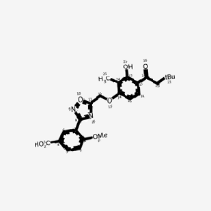 COc1ccc(C(=O)O)cc1-c1noc(COc2ccc(C(=O)CC(C)(C)C)c(O)c2C)n1